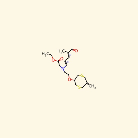 C=C1CSCC(OCCN(/C=C/C=C(\C)C=O)CC(=O)OCC)CSC1